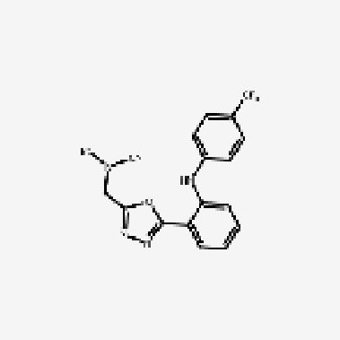 CCN(C#N)Cc1nnc(-c2ccccc2Nc2ccc(C(F)(F)F)cc2)o1